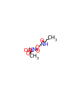 CCCCC(=O)NCCOC(=O)NCc1oc(=O)oc1C